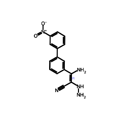 N#C/C(NN)=C(/N)c1cccc(-c2cccc([N+](=O)[O-])c2)c1